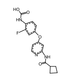 O=C(O)Nc1ccc(Oc2ccnc(NC(=O)C3CCC3)c2)cc1F